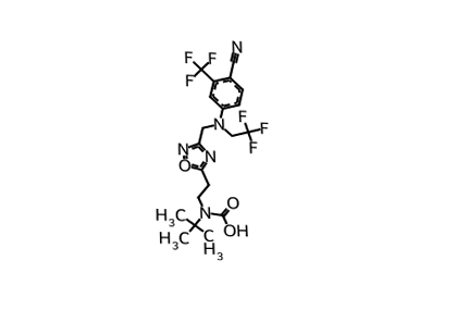 CC(C)(C)N(CCc1nc(CN(CC(F)(F)F)c2ccc(C#N)c(C(F)(F)F)c2)no1)C(=O)O